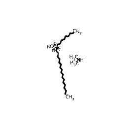 CCCCCCCCCCCCCCCCCCC(F)(CCCCCCCCC)S(=O)(=O)O.CNC